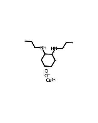 CCCNC1CCCCC1NCCC.[Cl-].[Cl-].[Cu+2]